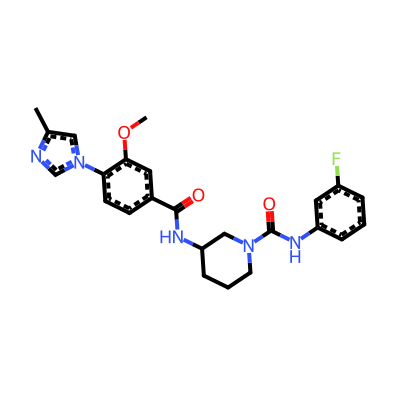 COc1cc(C(=O)NC2CCCN(C(=O)Nc3cccc(F)c3)C2)ccc1-n1cnc(C)c1